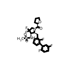 CS(=O)(=O)N[C@@H]1[C@H](Cc2cccc(-c3cc(F)ccc3F)c2F)N(C(=O)[C@H]2CCCO2)CC1(F)F